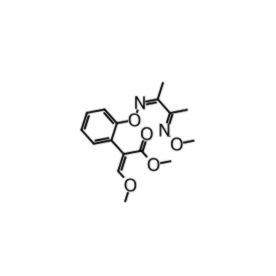 COC=C(C(=O)OC)c1ccccc1ON=C(C)C(C)=NOC